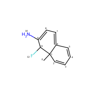 CC12C=CC=CC1=CC=C(N)C2F